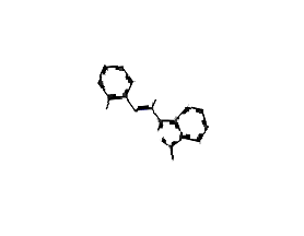 C/C(=C\c1ccccc1C)c1sc(C)c2ccccc12